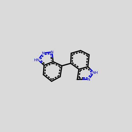 [c]1n[nH]c2cccc(-c3cccc4[nH]nnc34)c12